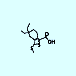 CCC1(CC)CCc2c(C(=O)O)sc(SC)c2C1